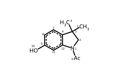 CC(=O)N1CC(C)(C)c2ccc(O)cc21